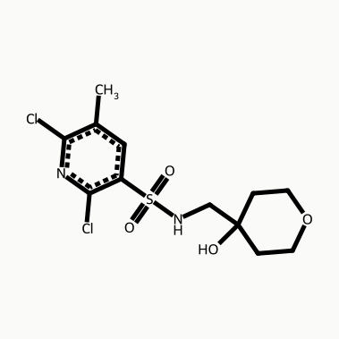 Cc1cc(S(=O)(=O)NCC2(O)CCOCC2)c(Cl)nc1Cl